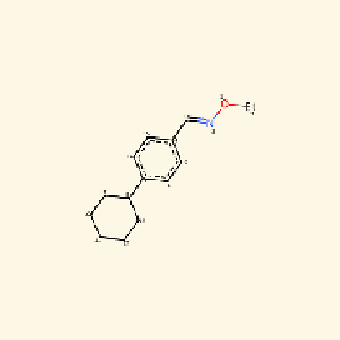 CCO/N=[C]/c1ccc(C2CCCCC2)cc1